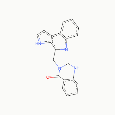 O=C1c2ccccc2NCN1Cc1nc2ccccc2c2cc[nH]c12